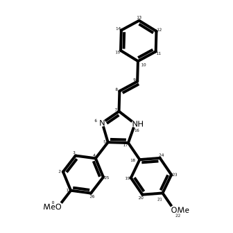 COc1ccc(-c2nc(C=Cc3ccccc3)[nH]c2-c2ccc(OC)cc2)cc1